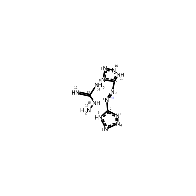 N(=N\c1nnn[nH]1)/c1nnn[nH]1.N=C(N)NN